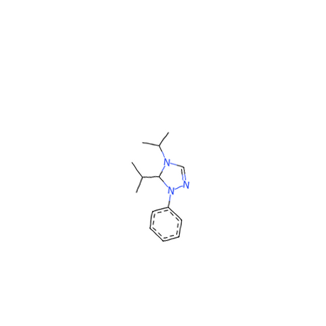 CC(C)C1N(c2ccccc2)N=CN1C(C)C